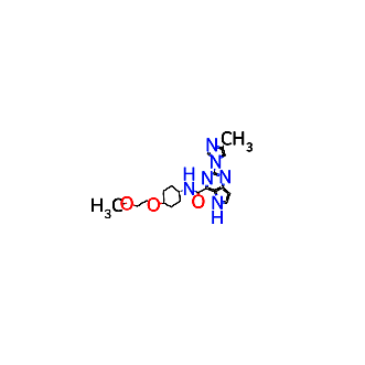 COCCO[C@H]1CC[C@H](NC(=O)c2nc(-n3cnc(C)c3)nc3cc[nH]c23)CC1